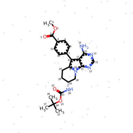 COC(=O)c1ccc(-c2c3n(c4ncnc(N)c24)C[C@H](NC(=O)OC(C)(C)C)CC3)cc1